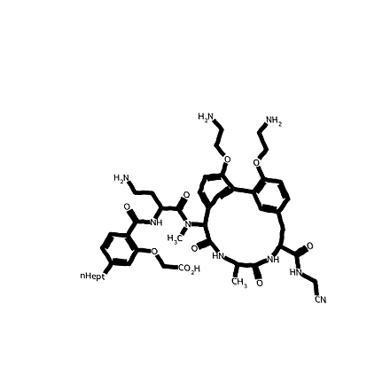 CCCCCCCc1ccc(C(=O)NC(CCN)C(=O)N(C)C2C(=O)NC(C)C(=O)NC(C(=O)NCC#N)Cc3ccc(OCCN)c(c3)-c3cc2ccc3OCCN)c(OCC(=O)O)c1